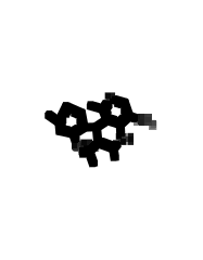 C=C(C)C1=C(C)Nc2c(N)cnc(C)c2C1c1ccc(C)cc1OC